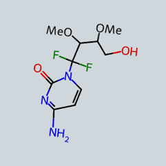 COC(CO)C(OC)C(F)(F)n1ccc(N)nc1=O